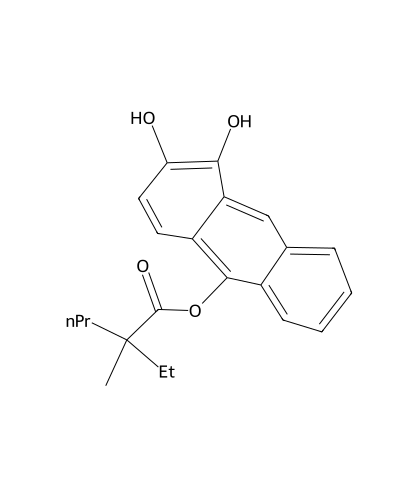 CCCC(C)(CC)C(=O)Oc1c2ccccc2cc2c(O)c(O)ccc12